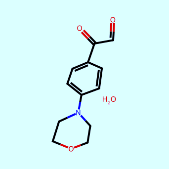 O.O=CC(=O)c1ccc(N2CCOCC2)cc1